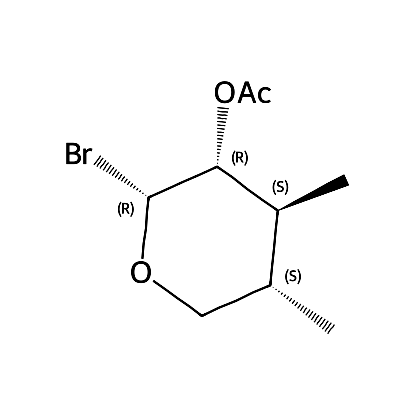 CC(=O)O[C@@H]1[C@@H](C)[C@H](C)CO[C@@H]1Br